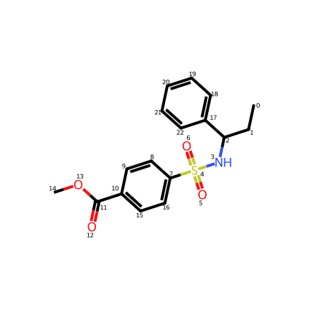 CCC(NS(=O)(=O)c1ccc(C(=O)OC)cc1)c1ccccc1